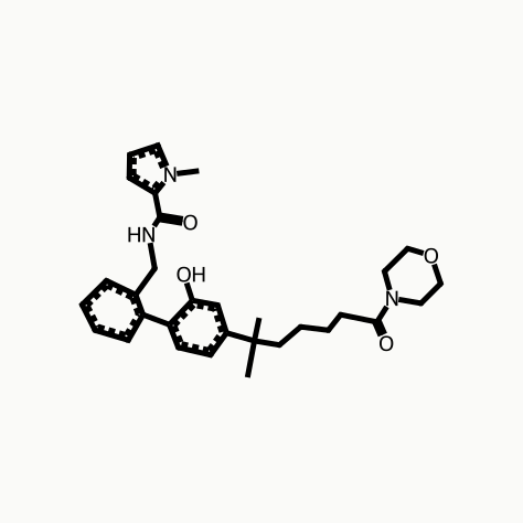 Cn1cccc1C(=O)NCc1ccccc1-c1ccc(C(C)(C)CCCCC(=O)N2CCOCC2)cc1O